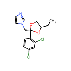 CC[C@@H]1CO[C@@](Cn2ccnc2)(c2ccc(Cl)cc2Cl)O1